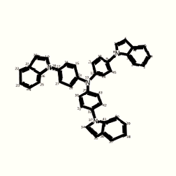 c1ccc2c(c1)ccn2-c1ccc(N(c2ccc(-n3ccc4ccccc43)cc2)c2ccc(-n3ccc4ccccc43)cc2)cc1